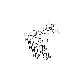 C[Si](C)(C)[O-].C[Si](C)(C)[O-].C[Si](C)(C)[O-].C[Si](C)(C)[O-].C[Si](C)(C)[O-].[Nb+5]